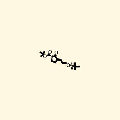 CC(C)(C)OC(=O)N1CC/C(=C\CCO[Si](C)(C)C(C)(C)C)C1=O